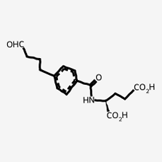 O=CCCCc1ccc(C(=O)N[C@@H](CCC(=O)O)C(=O)O)cc1